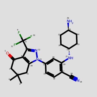 CC1(C)CC(=O)c2c(C(F)(F)F)nn(-c3ccc(C#N)c(N[C@H]4CC[C@H](N)CC4)c3)c2C1